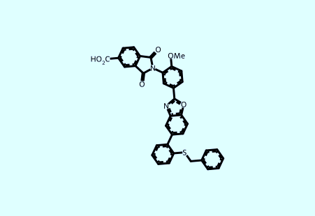 COc1ccc(-c2nc3cc(-c4ccccc4SCc4ccccc4)ccc3o2)cc1N1C(=O)c2ccc(C(=O)O)cc2C1=O